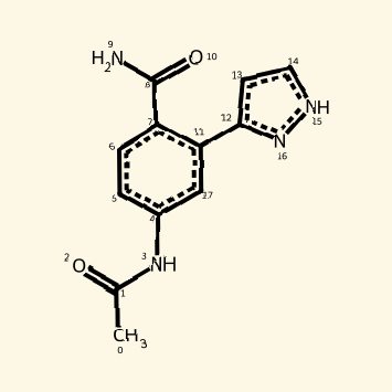 CC(=O)Nc1ccc(C(N)=O)c(-c2cc[nH]n2)c1